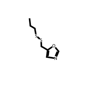 CCCSSCc1cnco1